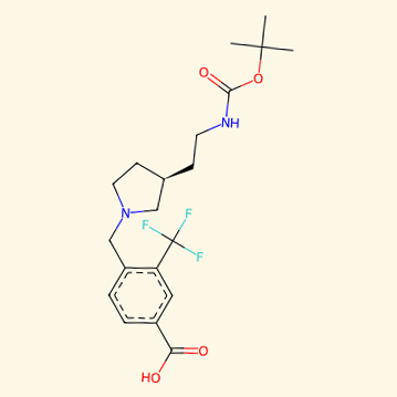 CC(C)(C)OC(=O)NCC[C@@H]1CCN(Cc2ccc(C(=O)O)cc2C(F)(F)F)C1